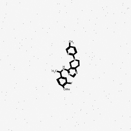 COc1ccc(C(C)Nc2ncnc3c2CN(c2ccc(C)cn2)CC3)cc1F